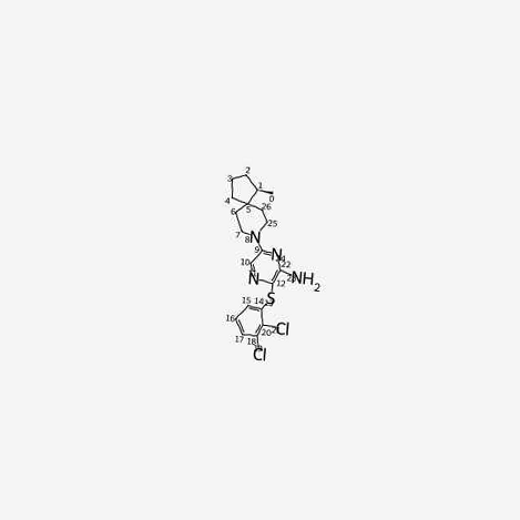 C[C@@H]1CCCC12CCN(c1cnc(Sc3cccc(Cl)c3Cl)c(N)n1)CC2